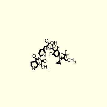 CCC(N(c1cc(F)c(C(=O)NC(Cc2ccc(-n3c(=O)c4ccncc4n(C)c3=O)nc2)C(=O)O)c(F)c1)C1CC1)C(F)(F)F